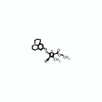 CCOC(=O)c1sc(N=Nc2cc3c4c(c2)CCCN4CCC3)c(C#N)c1C